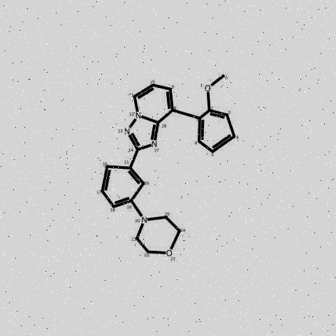 COc1ccccc1-c1cccn2nc(-c3[c]ccc(N4CCOCC4)c3)nc12